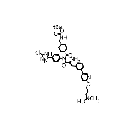 CN(C)CCCOc1ccc(-c2cccc(C[C@H](N)C(=O)N(c3ccc(-c4nnc(Cl)[nH]4)cc3)C(=O)[C@H]3CC[C@H](CNC(=O)OC(C)(C)C)CC3)c2)cn1